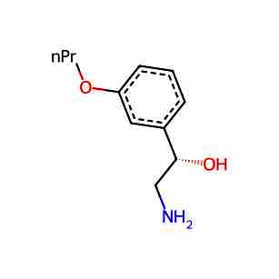 CCCOc1cccc([C@H](O)CN)c1